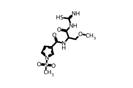 COCC(NC(=O)c1ccn(S(C)(=O)=O)c1)C(=O)NC(=N)S